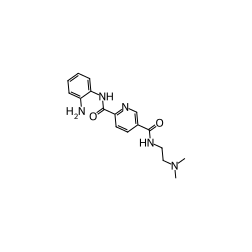 CN(C)CCNC(=O)c1ccc(C(=O)Nc2ccccc2N)nc1